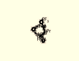 CC(C)[C@H]1NC(=O)[C@@H](Cc2cccc(C(F)(F)F)c2)NCCOc2ccccc2CCCNC(=O)[C@H](CNc2ncccn2)NC1=O